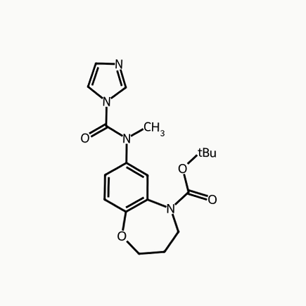 CN(C(=O)n1ccnc1)c1ccc2c(c1)N(C(=O)OC(C)(C)C)CCCO2